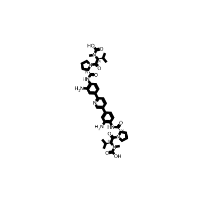 CC(C)[C@@H](C(=O)N1CCC[C@H]1C(=O)Nc1ccc(-c2ccc(-c3ccc(NC(=O)[C@@H]4CCCN4C(=O)[C@H](C(C)C)N(C)C(=O)O)c(N)c3)nc2)cc1N)N(C)C(=O)O